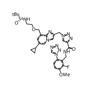 COc1ccc(-n2cnnn2)c(CNC(=O)c2cn(Cc3cn4cc(C5CC5)cc(COCCN[S+]([O-])C(C)(C)C)c4n3)nn2)c1F